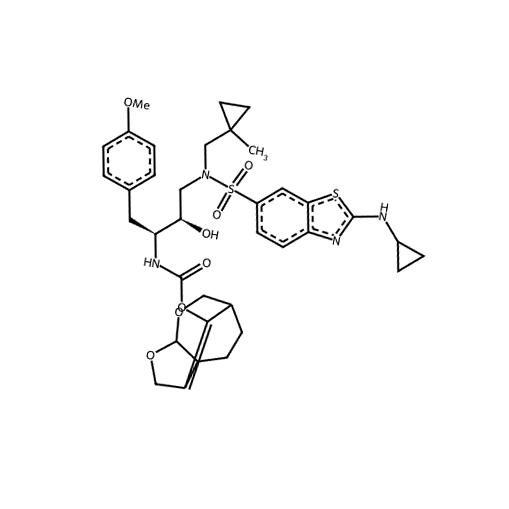 COc1ccc(C[C@H](NC(=O)OC2=C3COC4OCC2CCC34)[C@H](O)CN(CC2(C)CC2)S(=O)(=O)c2ccc3nc(NC4CC4)sc3c2)cc1